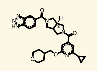 O=C(c1cc(OCC2CCOCC2)nc(C2CC2)c1)N1CC2CN(C(=O)c3ccc4[nH]nnc4c3)C[C@H]2C1